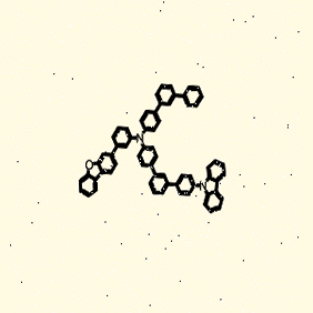 c1ccc(-c2cccc(-c3ccc(N(c4ccc(-c5cccc(-c6ccc(-n7c8ccccc8c8ccccc87)cc6)c5)cc4)c4cccc(-c5ccc6c(c5)oc5ccccc56)c4)cc3)c2)cc1